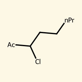 CCCCCC(Cl)C(C)=O